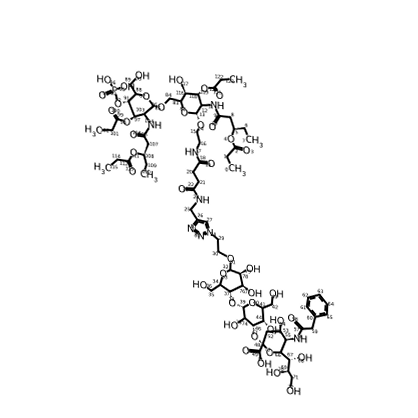 CCC(=O)O[C@H](CC)CC(=O)NC1[C@H](OCCNC(=O)CCC(=O)NCc2cn(CCOC3OC(CO)[C@@H](O[C@@H]4OC(CO)[C@H](O)[C@H](O[C@]5(C(=O)O)C[C@@H](O)[C@@H](NC(=O)Cc6ccccc6)C([C@H](O)[C@H](O)CO)O5)C4O)[C@H](O)[C@@H]3O)nn2)OC(CO[C@@H]2OC(CO)[C@@H](OP(=O)(O)O)[C@H](OC(=O)CC)C2NC(=O)C[C@@H](CC)OC(=O)CC)[C@@H](O)[C@@H]1OC(=O)CC